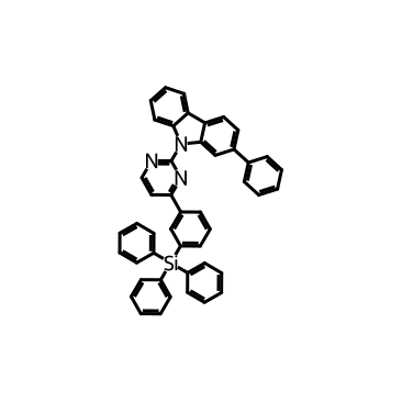 c1ccc(-c2ccc3c4ccccc4n(-c4nccc(-c5cccc([Si](c6ccccc6)(c6ccccc6)c6ccccc6)c5)n4)c3c2)cc1